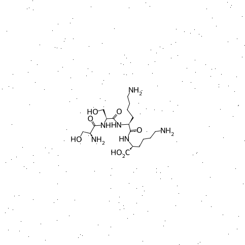 NCCCC[C@H](NC(=O)[C@H](CCCCN)NC(=O)[C@H](CO)NC(=O)[C@@H](N)CO)C(=O)O